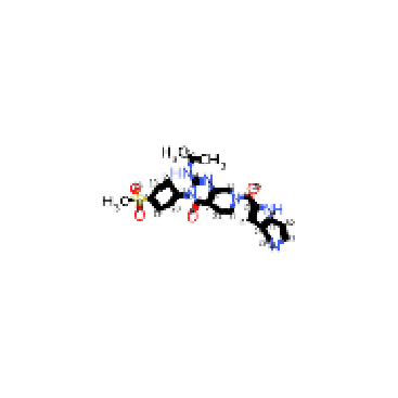 CC(C)Nc1nc2c(c(=O)n1-c1ccc(S(C)(=O)=O)cc1)CCN(C(=O)c1cc3cnccc3[nH]1)C2